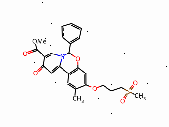 COC(=O)c1cn2c(cc1=O)-c1cc(C)c(OCCCS(C)(=O)=O)cc1OC2c1ccccc1